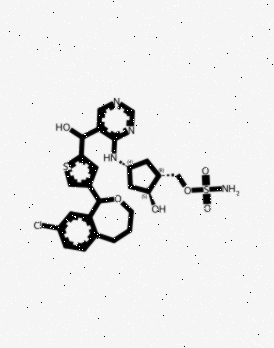 NS(=O)(=O)OC[C@H]1C[C@@H](Nc2ncncc2C(O)c2cc(C3OCCCc4ccc(Cl)cc43)cs2)C[C@@H]1O